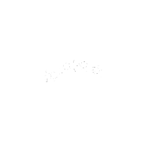 Cc1ccc(Oc2ccc(N3C(=O)c4ccc(C(c5ccc6c(c5)C(=O)N(C)C6=O)(C(F)(F)F)C(F)(F)F)cc4C3=O)cc2S(=O)(=O)O)cc1